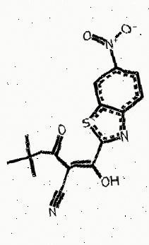 CC(C)(C)C(=O)C(C#N)=C(O)c1nc2ccc([N+](=O)[O-])cc2s1